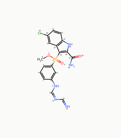 COP(=O)(c1cccc(N/C=N\C=N)c1)c1c(C(N)=O)[nH]c2ccc(Cl)cc12